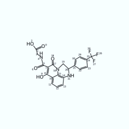 O=C(O)CNC(=O)c1c(O)c2cccc3c2n(c1=O)CC(c1ccc(C(F)(F)F)cc1)N3